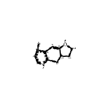 [CH2]c1ccnc2c1C=C1OCCC1C2